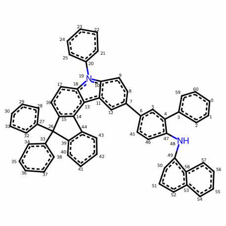 c1ccc(-c2cc(-c3ccc4c(c3)c3c5c(ccc3n4-c3ccccc3)C(c3ccccc3)(c3ccccc3)c3ccccc3-5)ccc2Nc2cccc3ccccc23)cc1